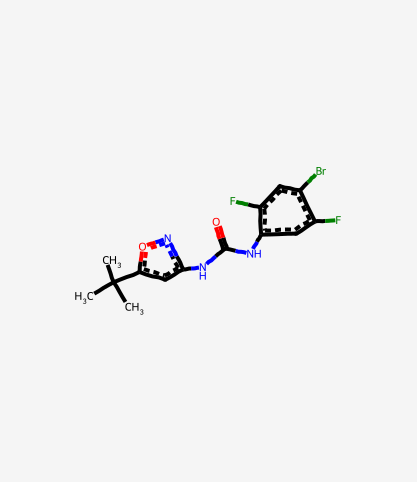 CC(C)(C)c1cc(NC(=O)Nc2cc(F)c(Br)cc2F)no1